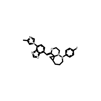 Cc1cn(-c2ccc(/C=C3\OCCN4N(c5ccc(F)cc5)CCCC5CC354)c3ocnc23)cn1